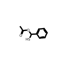 CC(=O)OC(S)c1ccccc1